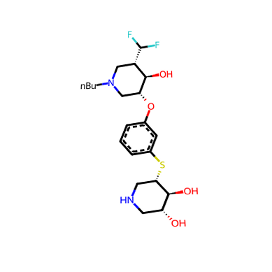 CCCCN1C[C@H](C(F)F)[C@@H](O)[C@H](Oc2cccc(S[C@H]3CNC[C@@H](O)[C@@H]3O)c2)C1